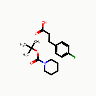 CC(C)(C)OC(=O)N1CCCCC1.O=C(O)CCc1ccc(F)cc1